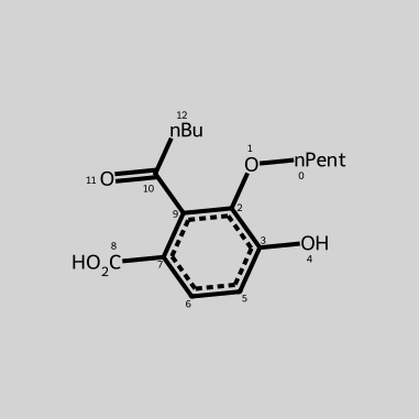 CCCCCOc1c(O)ccc(C(=O)O)c1C(=O)CCCC